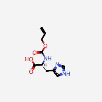 C=CCOC(=O)N[C@H](Cc1c[nH]cn1)C(=O)O